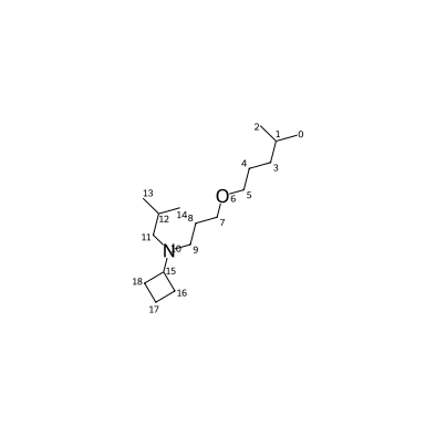 CC(C)CCCOCCCN(CC(C)C)C1CCC1